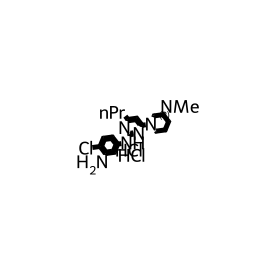 CCCc1cc(N2CCC[C@@H](NC)C2)nc(Nc2ccc(Cl)c(N)c2)n1.Cl.Cl